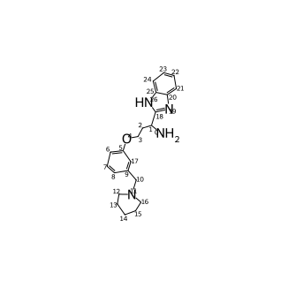 NC(CCOc1cccc(CN2CCCCC2)c1)c1nc2ccccc2[nH]1